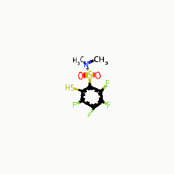 CN(C)S(=O)(=O)c1c(F)c(F)c(F)c(F)c1S